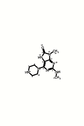 CNc1nc(N2CCNCC2)c2[nH]c(=O)n(C)c2n1